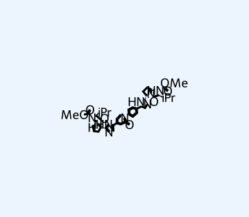 COC(=O)N[C@H](C(=O)N1CCC[C@H]1C1=NCC(c2ccc(-n3ccc(-c4cnc([C@@H]5CCCN5C(=O)[C@@H](NC(=O)OC)C(C)C)[nH]4)cc3=O)cc2)N1)C(C)C